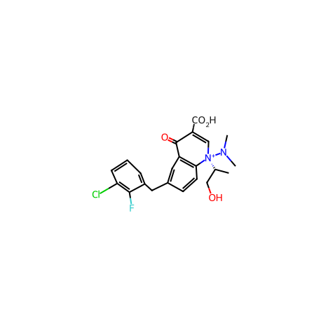 CC(CO)[N@@+]1(N(C)C)C=C(C(=O)O)C(=O)c2cc(Cc3cccc(Cl)c3F)ccc21